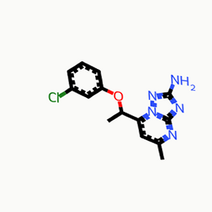 Cc1cc(C(C)Oc2cccc(Cl)c2)n2nc(N)nc2n1